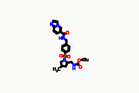 CC1CC(CNC(=O)OC(C)(C)C)N(S(=O)(=O)c2ccc(CNC(=O)c3ccc4nccn4c3)cc2)C1